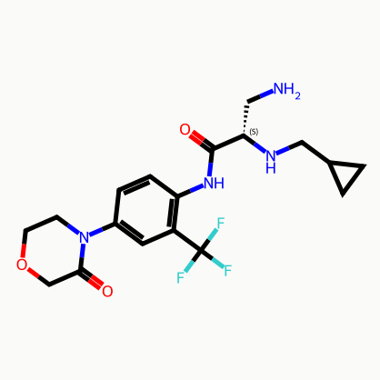 NC[C@H](NCC1CC1)C(=O)Nc1ccc(N2CCOCC2=O)cc1C(F)(F)F